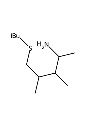 CCC(C)SCC(C)C(C)C(C)N